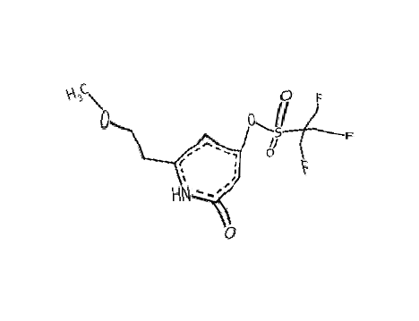 COCCc1cc(OS(=O)(=O)C(F)(F)F)cc(=O)[nH]1